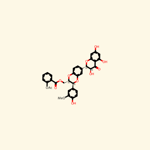 COc1cc([C@@H]2Oc3cc([C@@H]4Oc5cc(O)cc(O)c5C(=O)[C@H]4O)ccc3O[C@H]2COC(=O)c2ccccc2OC(C)=O)ccc1O